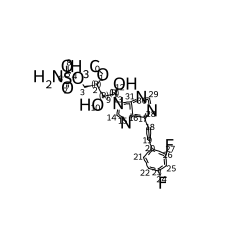 CO[C@H](COS(N)(=O)=O)[C@@H](O)[C@@H](O)n1cnc2c(C#Cc3ccc(F)cc3F)ncnc21